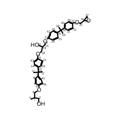 CC(CO)COc1ccc(C(C)(C)c2ccc(OCC(O)COc3ccc(C(C)(C)c4ccc(OCC5CO5)cc4)cc3)cc2)cc1